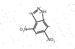 O=[N+]([O-])c1cc([N+](=O)[O-])c2nn[nH]c2c1